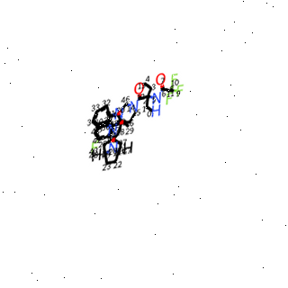 CCC(CC)(NC(=O)C(F)(F)F)C(=O)N1CCC(CCN2[C@@H]3CC[C@H]2C[C@@H](n2c(C)nc4ccccc42)C3)(c2cccc(F)c2)CC1